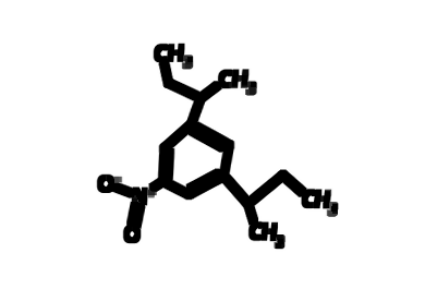 CCC(C)c1cc(C(C)CC)cc([N+](=O)[O-])c1